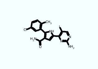 Cc1ccc(Cl)cc1-c1[nH]c(-c2nc(N)ncc2I)cc1C(N)=O